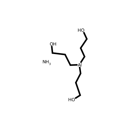 N.OCC[CH2][Al]([CH2]CCO)[CH2]CCO